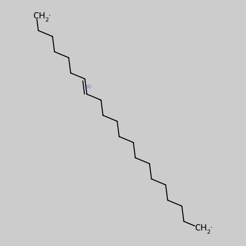 [CH2]CCCCC/C=C/CCCCCCCCCCCC[CH2]